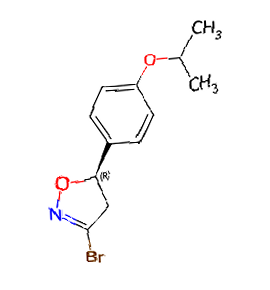 CC(C)Oc1ccc([C@H]2CC(Br)=NO2)cc1